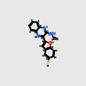 CCC(C)Nc1nc2ccccc2nc1-c1cc2cc(F)ccc2o1